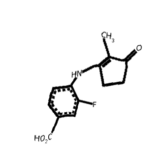 CC1=C(Nc2ccc(C(=O)O)cc2F)CCC1=O